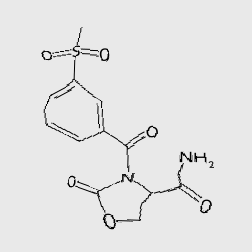 CS(=O)(=O)c1cccc(C(=O)N2C(=O)OCC2C(N)=O)c1